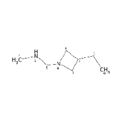 CCC1CN(CNC)C1